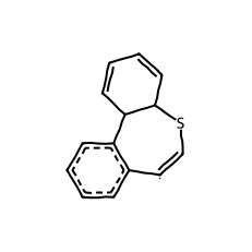 [C]1=CSC2C=CC=CC2c2ccccc21